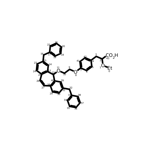 CCOC(Cc1ccc(OCCOC2c3cc(Cc4ccccc4)ccc3C=Cc3ccc(Cc4ccccc4)cc32)cc1)C(=O)O